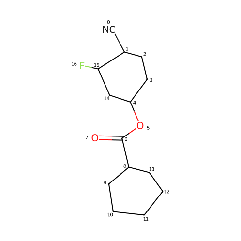 N#CC1CCC(OC(=O)C2CCCCC2)CC1F